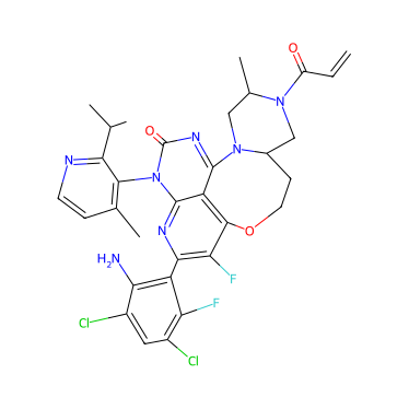 C=CC(=O)N1CC2CCOc3c(F)c(-c4c(N)c(Cl)cc(Cl)c4F)nc4c3c(nc(=O)n4-c3c(C)ccnc3C(C)C)N2CC1C